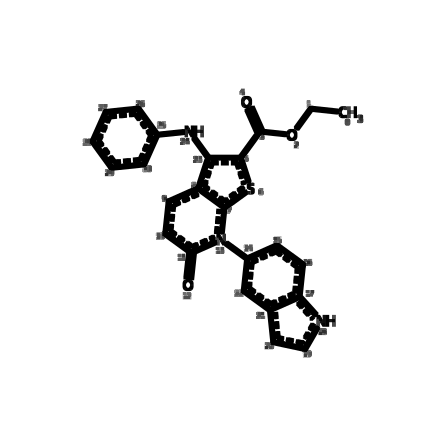 CCOC(=O)c1sc2c(ccc(=O)n2-c2ccc3[nH]ccc3c2)c1Nc1ccccc1